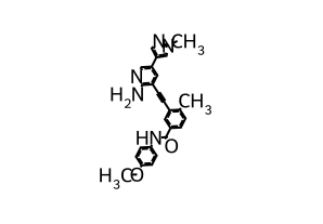 COc1ccc(NC(=O)c2ccc(C)c(C#Cc3cc(-c4cnn(C)c4)cnc3N)c2)cc1